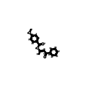 COc1ccc(C(=O)OC(C)=CC(=O)c2ccccc2)cc1